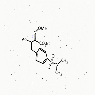 CCOC(=O)/C(=N\OC)C(Cc1ccc(S(=O)(=O)N(C)C)cc1)C(C)=O